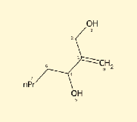 C=C(CO)C(O)CCCC